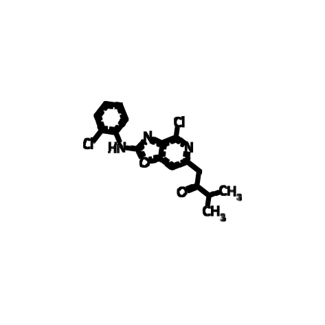 CC(C)C(=O)Cc1cc2oc(Nc3ccccc3Cl)nc2c(Cl)n1